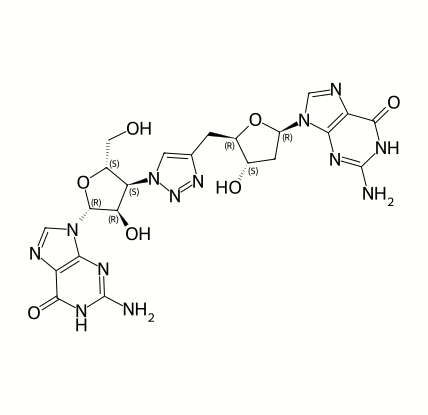 Nc1nc2c(ncn2[C@@H]2O[C@H](CO)[C@@H](n3cc(C[C@H]4O[C@@H](n5cnc6c(=O)[nH]c(N)nc65)C[C@@H]4O)nn3)[C@H]2O)c(=O)[nH]1